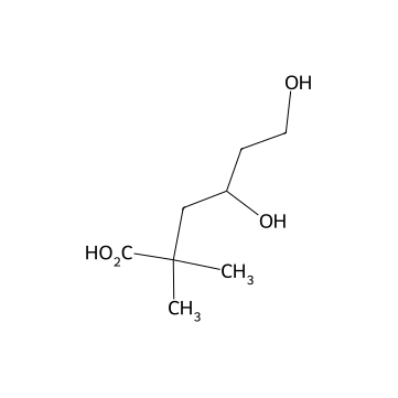 CC(C)(CC(O)CCO)C(=O)O